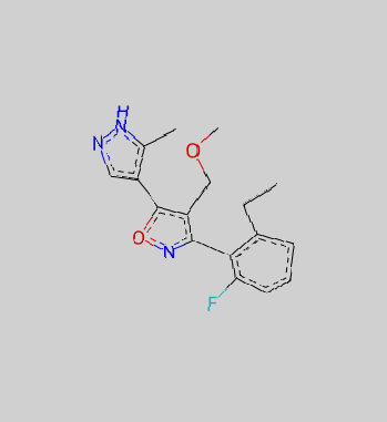 CCc1cccc(F)c1-c1noc(-c2cn[nH]c2C)c1COC